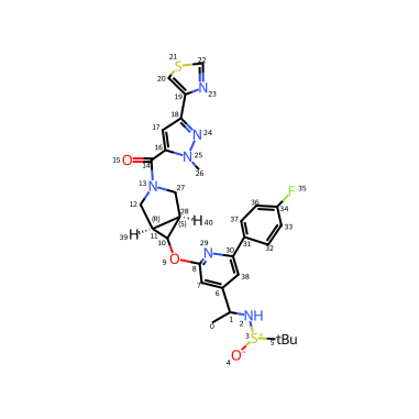 CC(N[S+]([O-])C(C)(C)C)c1cc(OC2[C@H]3CN(C(=O)c4cc(-c5cscn5)nn4C)C[C@@H]23)nc(-c2ccc(F)cc2)c1